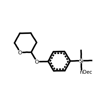 CCCCCCCCCC[Si](C)(C)c1ccc(OC2CCCCO2)cc1